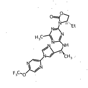 CC[C@H]1COC(=O)N1c1nc(C)nc(N[C@@H](C)c2cn(-c3cnc(OC(F)(F)F)cn3)cn2)n1